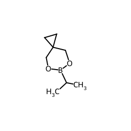 CC(C)B1OCC2(CC2)CO1